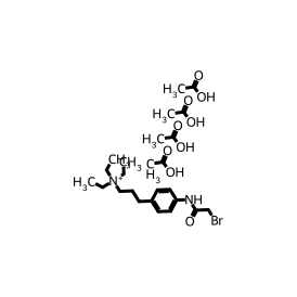 CC(=O)O.CC(=O)O.CC(=O)O.CC(=O)O.CC[N+](CC)(CC)CCCc1ccc(NC(=O)CBr)cc1